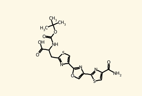 CC(C)(C)OC(=O)NC(Cc1nc(-c2nc(-c3nc(C(N)=O)cs3)co2)cs1)C(=O)O